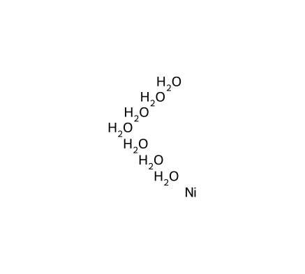 O.O.O.O.O.O.O.[Ni]